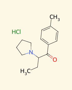 CCC(C(=O)c1ccc(C)cc1)N1CCCC1.Cl